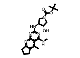 CNc1nc(N[C@H]2CN(C(=O)OC(C)(C)C)C[C@@H]2O)nc2nc3c(c(C)c12)CCC3